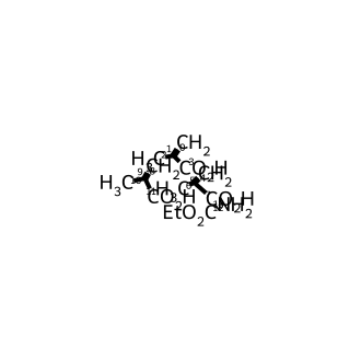 C=C(C)C(=O)O.C=C(C)C(=O)O.C=C(C)C(=O)O.CCOC(N)=O